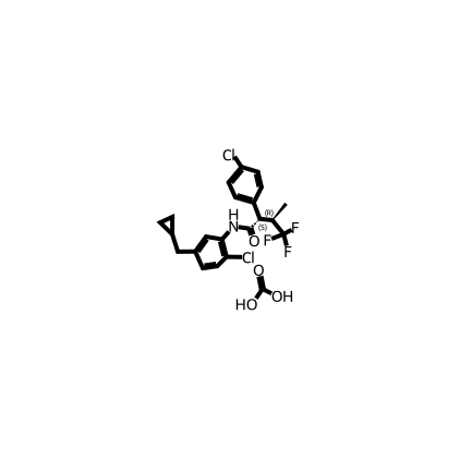 C[C@H]([C@H](C(=O)Nc1cc(CC2CC2)ccc1Cl)c1ccc(Cl)cc1)C(F)(F)F.O=C(O)O